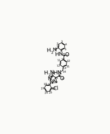 Nc1ccccc1NC(=O)c1ccc(CNC(=O)c2nn(-c3ccccc3Cl)nc2N)cc1